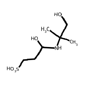 CC(C)(CO)NC(O)CCS(=O)(=O)O